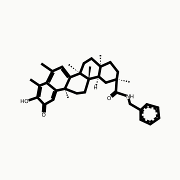 CC1=C2C(=CC(=O)C(O)=C2C)[C@]2(C)CC[C@@]3(C)[C@@H]4C[C@](C)(C(=O)NCc5ccccc5)CC[C@]4(C)CC[C@]3(C)C2=C1